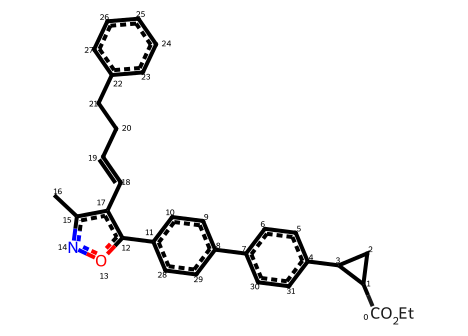 CCOC(=O)C1CC1c1ccc(-c2ccc(-c3onc(C)c3C=CCCc3ccccc3)cc2)cc1